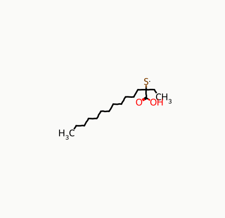 CCCCCCCCCCCCC([S])(CC)C(=O)O